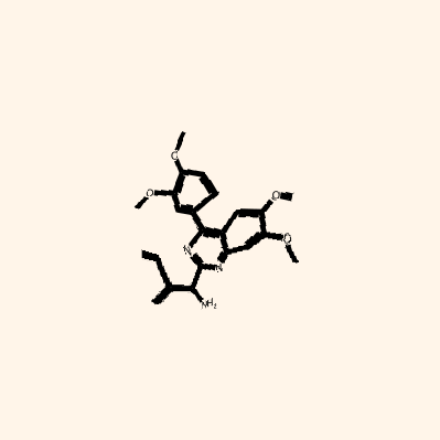 CCC(C)C(N)c1nc(-c2ccc(OC)c(OC)c2)c2cc(OC)c(OC)cc2n1